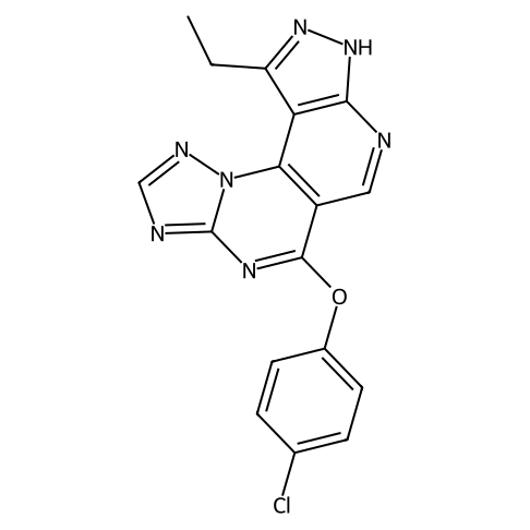 CCc1n[nH]c2ncc3c(Oc4ccc(Cl)cc4)nc4ncnn4c3c12